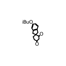 CC(C)COc1ccc2c(c1)CC1(CCC(=O)CC1=O)C2